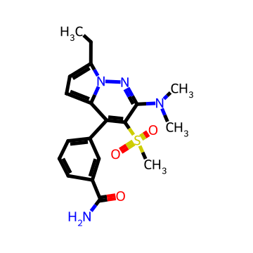 CCc1ccc2c(-c3cccc(C(N)=O)c3)c(S(C)(=O)=O)c(N(C)C)nn12